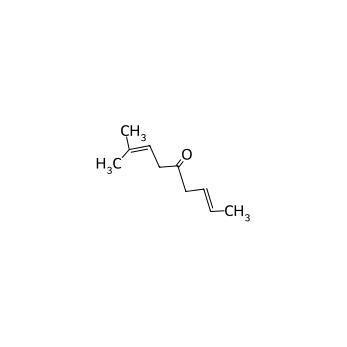 CC=CCC(=O)CC=C(C)C